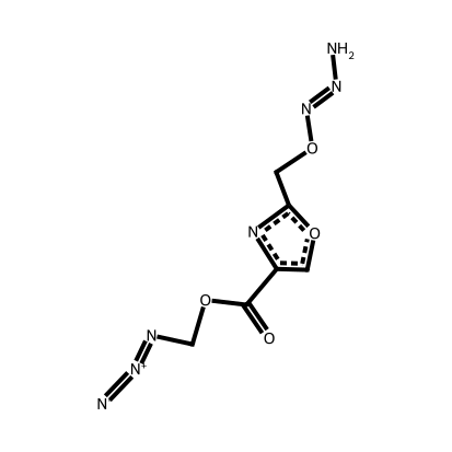 [N-]=[N+]=NCOC(=O)c1coc(CON=NN)n1